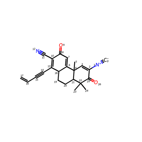 [C-]#[N+]C1=CC2(C)C3=CC(=O)C(C#N)=C(C#CC=C)C3CCC2C(C)(C)C1=O